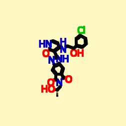 C[C@H](O)CN1C(=O)c2cc3nc(-c4c(NC[C@@H](O)c5cccc(Cl)c5)cc[nH]c4=O)[nH]c3cc2C1=O